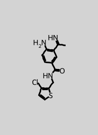 CC(=N)c1cc(C(=O)NCc2sccc2Cl)ccc1N